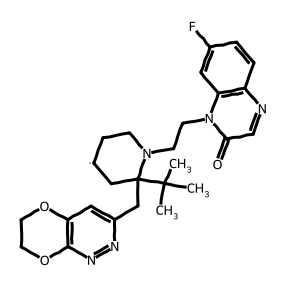 CC(C)(C)C1(Cc2cc3c(nn2)OCCO3)C[CH]CCN1CCn1c(=O)cnc2ccc(F)cc21